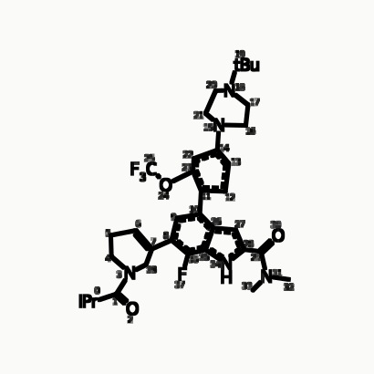 CC(C)C(=O)N1CCC=C(c2cc(-c3ccc(N4CCN(C(C)(C)C)CC4)cc3OC(F)(F)F)c3cc(C(=O)N(C)C)[nH]c3c2F)C1